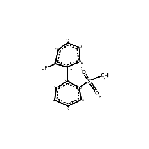 O=S(=O)(O)c1ccccc1-c1ccccc1F